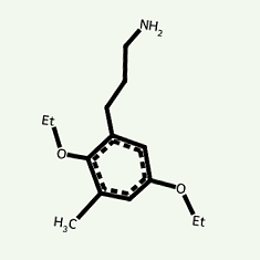 CCOc1cc(C)c(OCC)c(CCCN)c1